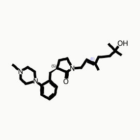 C/C(=C\CN1CC[C@H](Cc2ccccc2N2CCN(C)CC2)C1=O)CCC(C)(C)O